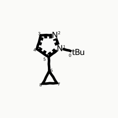 CC(C)(C)n1nccc1C1CC1